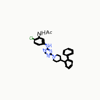 CC(=O)Nc1cc(Nc2ncnc(N3CCC(c4ccccc4-c4ccccc4)CC3)n2)ccc1Cl